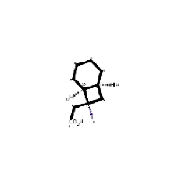 O=C(O)C[C@]1(I)C[C@@H]2CCCC[C@@H]21